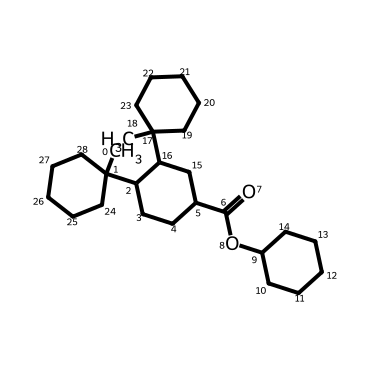 CC1(C2CCC(C(=O)OC3CCCCC3)CC2C2(C)CCCCC2)CCCCC1